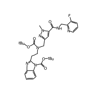 Cn1nc(CN(CCc2nc3ccccc3n2C(=O)OC(C)(C)C)C(=O)OC(C)(C)C)cc1C(=O)NCc1ncccc1F